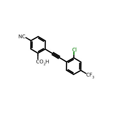 N#Cc1ccc(C#Cc2ccc(C(F)(F)F)cc2Cl)c(C(=O)O)c1